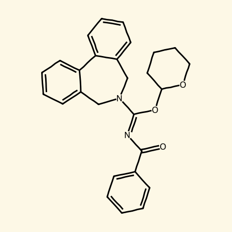 O=C(N=C(OC1CCCCO1)N1Cc2ccccc2-c2ccccc2C1)c1ccccc1